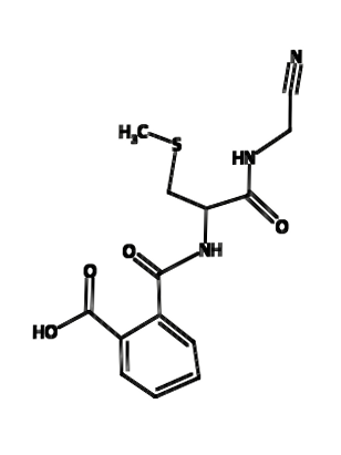 CSCC(NC(=O)c1ccccc1C(=O)O)C(=O)NCC#N